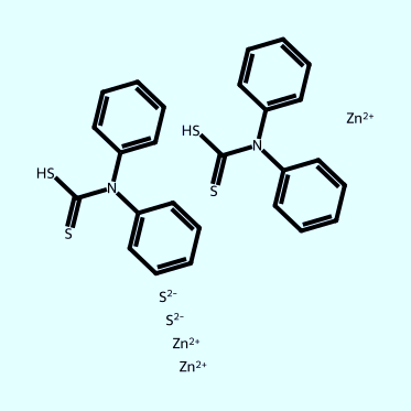 S=C(S)N(c1ccccc1)c1ccccc1.S=C(S)N(c1ccccc1)c1ccccc1.[S-2].[S-2].[Zn+2].[Zn+2].[Zn+2]